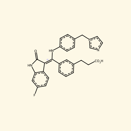 O=C(O)CCc1cccc(/C(Nc2ccc(Cn3ccnc3)cc2)=C2/C(=O)Nc3cc(F)ccc32)c1